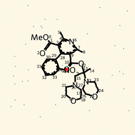 COC(=O)c1c(C)nc(C)c(C(=O)OC(C)(CN2CCOCC2)N2CCOCC2)c1-c1ccccc1[N+](=O)[O-]